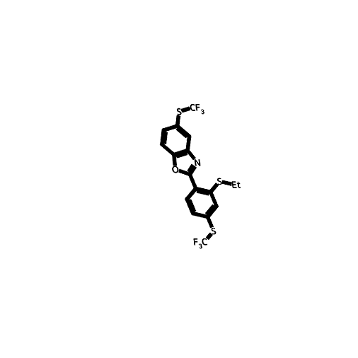 CCSc1cc(SC(F)(F)F)ccc1-c1nc2cc(SC(F)(F)F)ccc2o1